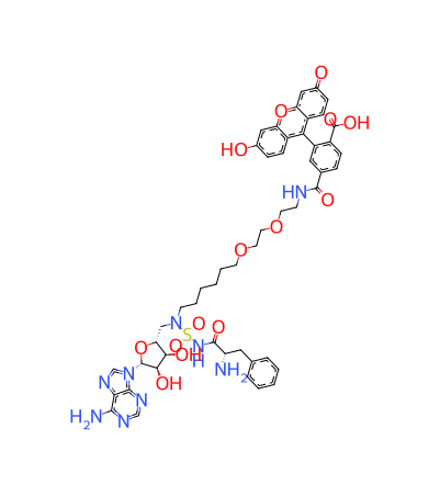 Nc1ncnc2c1ncn2[C@@H]1O[C@H](CN(CCCCCCOCCOCCNC(=O)c2ccc(C(=O)O)c(-c3c4ccc(=O)cc-4oc4cc(O)ccc34)c2)S(=O)(=O)NC(=O)[C@@H](N)Cc2ccccc2)[C@@H](O)[C@H]1O